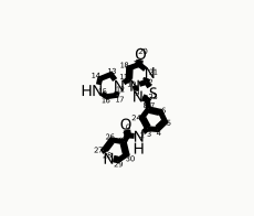 O=C(Nc1cccc(-c2nn3c(N4CCNCC4)cc(=O)nc3s2)c1)c1ccncc1